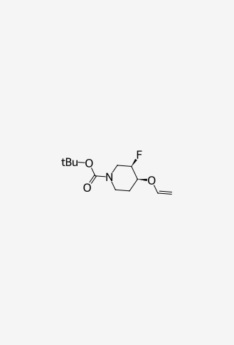 C=CO[C@H]1CCN(C(=O)OC(C)(C)C)C[C@H]1F